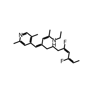 C/C=C(F)\C=C(\F)CCCC(=C/c1cc(C)ncc1C)/C=C(/C)NCC